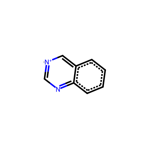 C1=[N+]C=c2ccccc2=N1